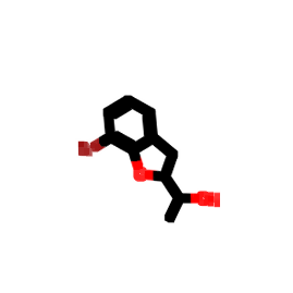 CC(O)C1Cc2cccc(Br)c2O1